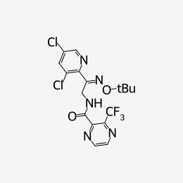 CC(C)(C)ON=C(CNC(=O)c1nccnc1C(F)(F)F)c1ncc(Cl)cc1Cl